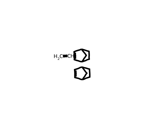 C1=CC2CCC1C2.C1=CC2CCC1C2.C=C